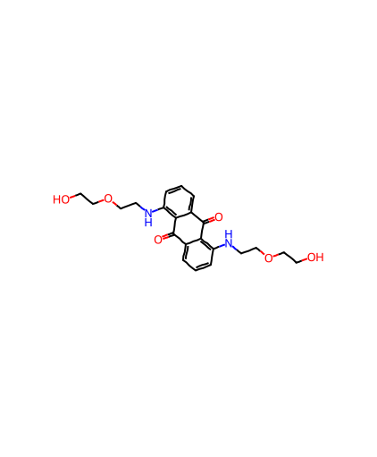 O=C1c2cccc(NCCOCCO)c2C(=O)c2cccc(NCCOCCO)c21